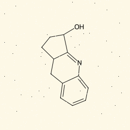 OC1CCC2Cc3ccccc3N=C12